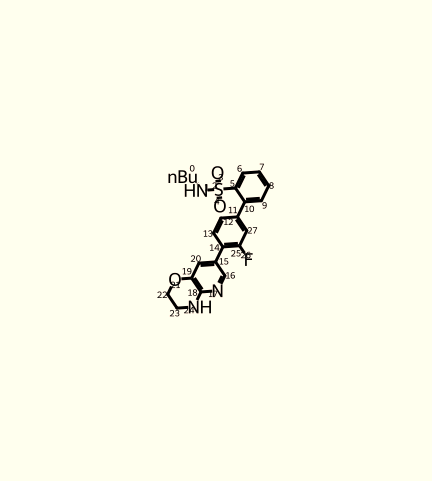 CCCCNS(=O)(=O)c1ccccc1-c1ccc(-c2cnc3c(c2)OCCN3)c(F)c1